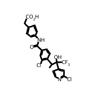 CC(c1ccc(C(=O)Nc2ccc(CC(=O)O)cc2)cc1Cl)C(O)(c1ccnc(Cl)c1)C(F)(F)F